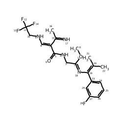 CO/C(CNC(=O)/C(=C/NCC(F)(F)F)C(C)=N)=N\C(=C(C)C)c1cccc(F)c1